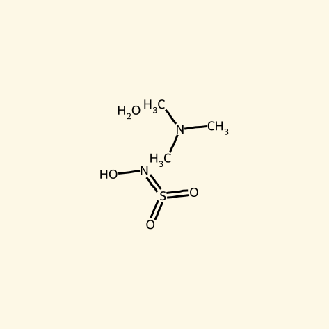 CN(C)C.O.O=S(=O)=NO